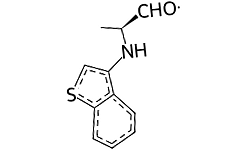 C[C@@H]([C]=O)Nc1csc2ccccc12